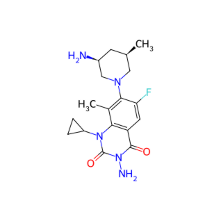 Cc1c(N2C[C@H](C)C[C@H](N)C2)c(F)cc2c(=O)n(N)c(=O)n(C3CC3)c12